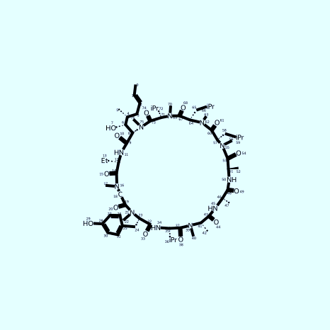 C/C=C/C[C@@H](C)[C@@H](O)[C@H]1C(=O)N[C@@H](CC)C(=O)N(C)CC(=O)N(C)[C@@H](Cc2ccc(O)cc2)C(=O)N[C@@H](C(C)C)C(=O)N(C)[C@@H](C)C(=O)N[C@@H](C)C(=O)N[C@H](C)C(=O)N(C)[C@@H](CC(C)C)C(=O)N(C)[C@@H](CC(C)C)C(=O)N(C)[C@@H](C(C)C)C(=O)N1C